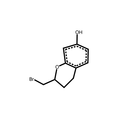 Oc1ccc2c(c1)OC(CBr)CC2